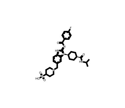 CC(C)NC(=O)[C@H]1CC[C@@H](n2/c(=N/C(=O)c3ccc(F)cc3)[nH]c3ccc(CN4CCC(S(=O)(=O)O)CC4)cc32)CC1